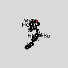 CC#C/C=C\C#C[C@H](OCC(C)C(C)COc1cc2c(cc1OCC(C)CC)C(=O)N1C=C(c3ccc4cc5ccccc5nc4c3)CC1CN2)C1=C(NC(=O)OC)C(=O)C[C@H](O)/C1=C/CS(C)=S